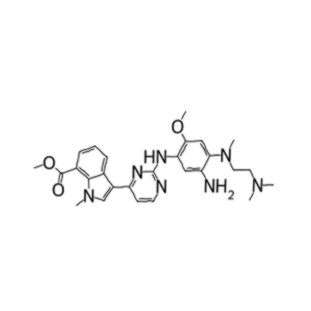 COC(=O)c1cccc2c(-c3ccnc(Nc4cc(N)c(N(C)CCN(C)C)cc4OC)n3)cn(C)c12